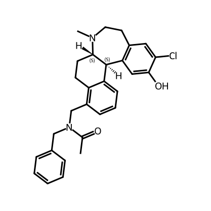 CC(=O)N(Cc1ccccc1)Cc1cccc2c1CC[C@H]1[C@H]2c2cc(O)c(Cl)cc2CCN1C